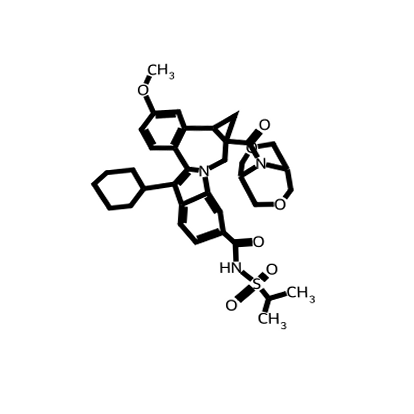 COc1ccc2c(c1)C1CC1(C(=O)N1C3COCC1COC3)Cn1c-2c(C2CCCCC2)c2ccc(C(=O)NS(=O)(=O)C(C)C)cc21